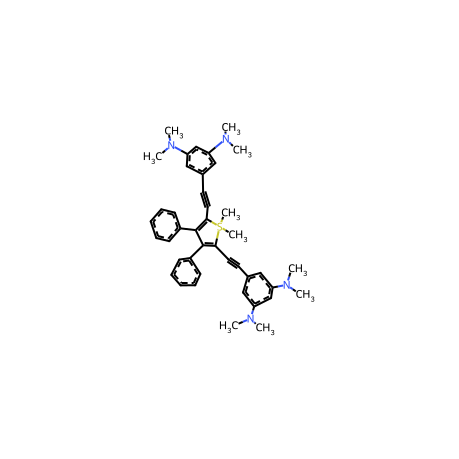 CN(C)c1cc(C#CC2=C(c3ccccc3)C(c3ccccc3)=C(C#Cc3cc(N(C)C)cc(N(C)C)c3)S2(C)C)cc(N(C)C)c1